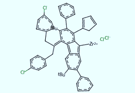 CC(C)(C)c1cc2c(cc1-c1ccccc1)=[C]([Zr+2])c1c(C3=CC=CC3)c(-c3ccccc3)c(C(C)(C)C)c(=C(Cc3ccc(Cl)cc3)Cc3ccc(Cl)cc3)c1=2.[Cl-].[Cl-]